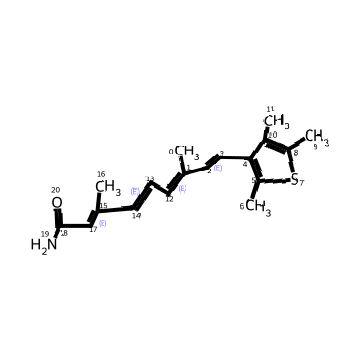 CC(/C=C/c1c(C)sc(C)c1C)=C\C=C\C(C)=C\C(N)=O